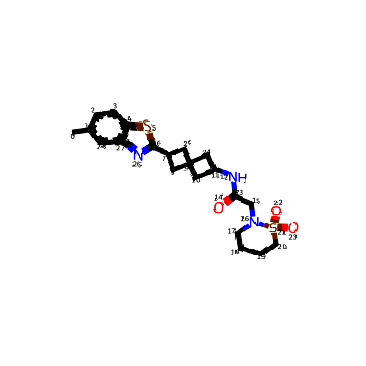 Cc1ccc2sc(C3CC4(CC(NC(=O)CN5CCCCS5(=O)=O)C4)C3)nc2c1